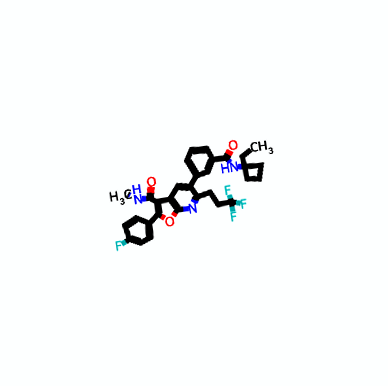 CCC1(NC(=O)c2cccc(-c3cc4c(C(=O)NC)c(-c5ccc(F)cc5)oc4nc3CCC(F)(F)F)c2)CCC1